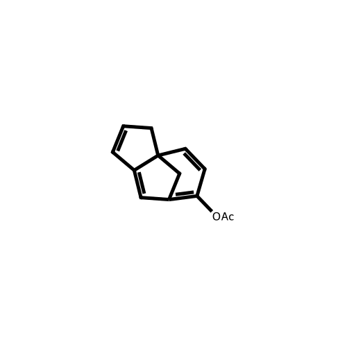 CC(=O)OC1=C2C=C3C=CCC3(C=C1)C2